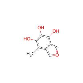 Cc1c(O)c(O)c(O)c2cocc12